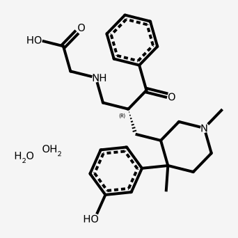 CN1CCC(C)(c2cccc(O)c2)C(C[C@H](CNCC(=O)O)C(=O)c2ccccc2)C1.O.O